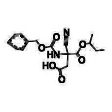 CCC(C)OC(=O)C(C#N)(CC(=O)O)NC(=O)OCc1ccccc1